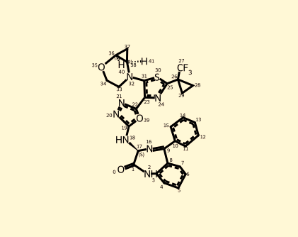 O=C1Nc2ccccc2C(c2ccccc2)=N[C@@H]1Nc1nnc(-c2nc(C3(C(F)(F)F)CC3)sc2N2CCO[C@H]3C[C@H]32)o1